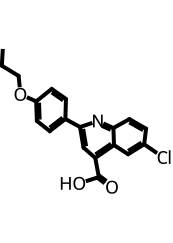 CCCOc1ccc(-c2cc(C(=O)O)c3cc(Cl)ccc3n2)cc1